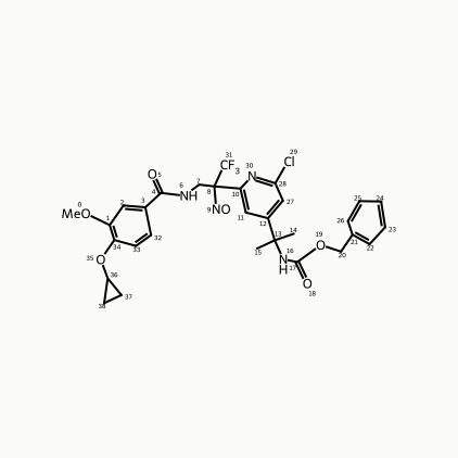 COc1cc(C(=O)NCC(N=O)(c2cc(C(C)(C)NC(=O)OCc3ccccc3)cc(Cl)n2)C(F)(F)F)ccc1OC1CC1